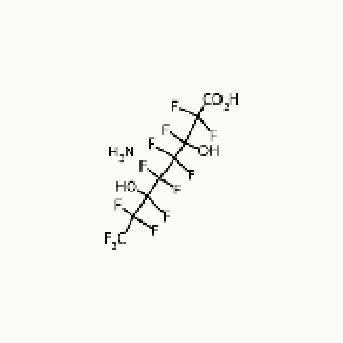 N.O=C(O)C(F)(F)C(O)(F)C(F)(F)C(F)(F)C(O)(F)C(F)(F)C(F)(F)F